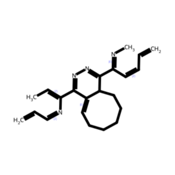 C=C/C=C\C(=N/C)C1=NN=C(C(=C/C)/N=C\C=C)/C2=C/CCCCCC12